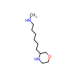 CNCCCCCCC1COCCN1